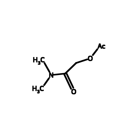 CC(=O)OCC(=O)N(C)C